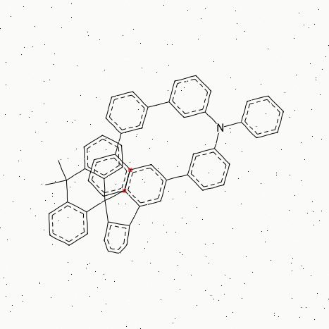 CC1(C)c2ccccc2C2(c3ccccc3-c3cc(-c4cccc(N(c5ccccc5)c5cccc(-c6cccc(-c7ccccc7)c6)c5)c4)ccc32)c2ccccc21